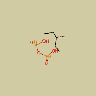 CCC(C)CC.O=[PH](O)O[PH](=O)O